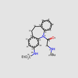 CCCCNCC(=O)N1c2ccccc2CCc2ccc(NC(=O)OCC)cc21